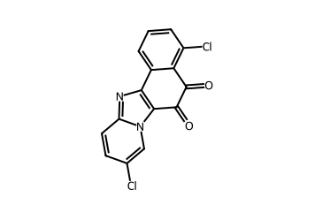 O=C1C(=O)c2c(nc3ccc(Cl)cn23)-c2cccc(Cl)c21